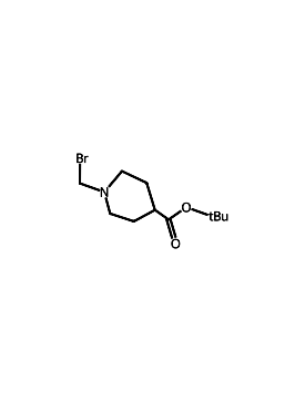 CC(C)(C)OC(=O)C1CCN(CBr)CC1